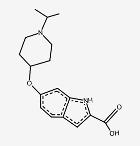 CC(C)N1CCC(Oc2ccc3cc(C(=O)O)[nH]c3c2)CC1